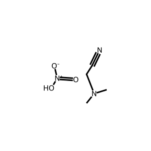 CN(C)CC#N.O=[N+]([O-])O